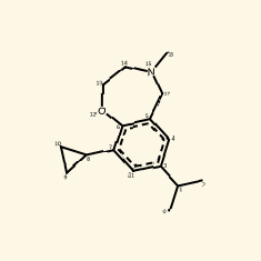 CC(C)c1cc2c(c(C3CC3)c1)OCCN(C)C2